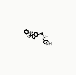 O=S(=O)(c1ccccc1)N1CCc2cc(C3CC3NCC3CCNCC3)ccc21